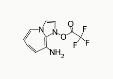 NC1=C2N(C=CC=C1)C=CN2OC(=O)C(F)(F)F